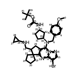 COc1ccc(CN(c2c3c(nc4c(Br)cnn24)C2(CCCC2)C(CNC2CC2)C3)[C@H]2CC[C@H](NC(=O)OC(C)(C)C)C2)cc1